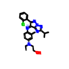 CCN(CCO)c1ccc(/N=C2/C(c3ccccc3Cl)=Nn3nc(C(C)C)nc32)c(C)c1